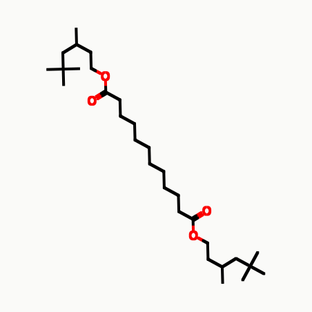 CC(CCOC(=O)CCCCCCCCCCC(=O)OCCC(C)CC(C)(C)C)CC(C)(C)C